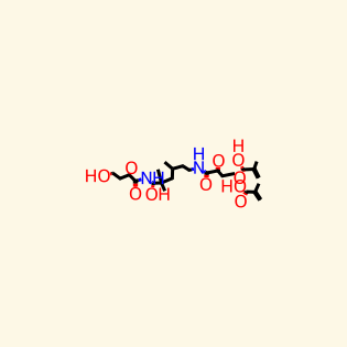 C=C(C)C(=O)O.C=C(C)C(=O)O.CCC(=O)C(=O)NCCC(C)CC(C)(C)C(O)NC(=O)C(=O)CCO